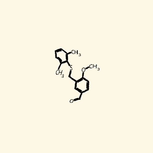 COc1ccc(C=O)cc1CSc1c(C)cccc1C